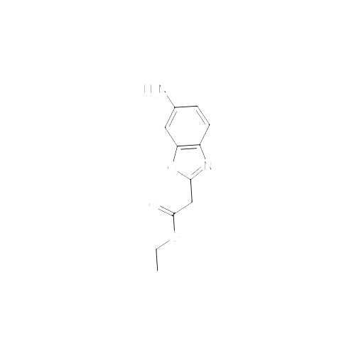 CCOC(=O)Cc1nc2ccc(N)cc2o1